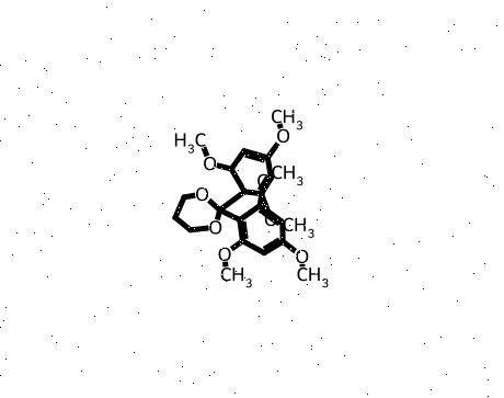 COC1=CC(OC)C(C2(c3c(OC)cc(OC)cc3OC)OCCCO2)C(OC)=C1